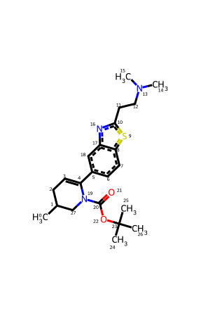 CC1CC=C(c2ccc3sc(CCN(C)C)nc3c2)N(C(=O)OC(C)(C)C)C1